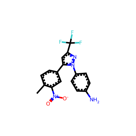 Cc1ccc(-c2cc(C(F)(F)F)nn2-c2ccc(N)cc2)cc1[N+](=O)[O-]